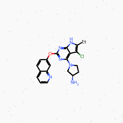 CCc1[nH]c2nc(Oc3ccc4cccnc4c3)nc(N3CC[C@@H](N)C3)c2c1Cl